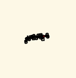 COC(=O)CCc1cc(Cl)c(OCC[C@@H](O)[C@H](O)CCOc2ccc(-c3nc4ccc(C(C)=O)cc4o3)cc2Cl)c(Cl)c1